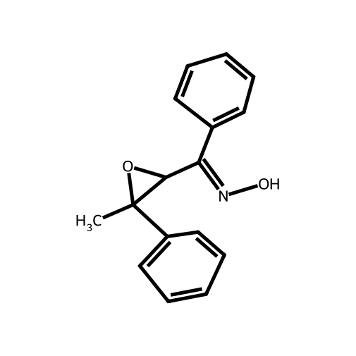 CC1(c2ccccc2)OC1C(=NO)c1ccccc1